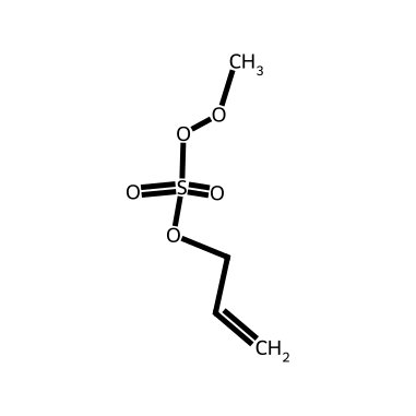 C=CCOS(=O)(=O)OOC